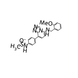 COc1ccccc1CNc1ccc(-c2ccc(N[S+](C)[O-])cc2)c2nncn12